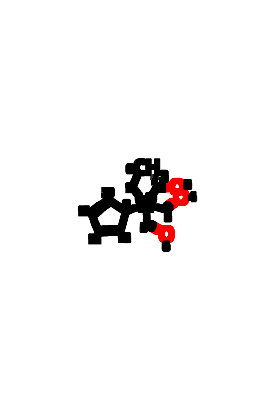 C[CH2][W]([CH]=O)([CH]=O)([CH]=O)[CH]1C=CC=C1